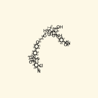 CC(C)(C)[C@H](NC(=O)COCCCCOc1ccc(-c2ccc(N3C(=S)N(c4ccc(C#N)c(Cl)c4)C(=O)C34CCC4)cc2)cc1)C(=O)N1C[C@H](O)C[C@H]1C(=O)NCc1ccc(-c2cnco2)cc1